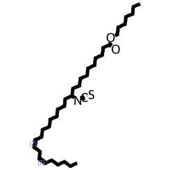 CCCCC/C=C\C/C=C\CCCCCCCCC(CCCCCCCCCC(=O)OCCCCCCC)N=C=S